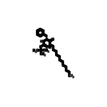 CCCCCCCCCCCCNC(=O)[C@H](Cc1ccccc1)NC(=O)OC(C)(C)C